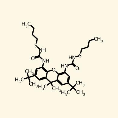 CCCCSNC(=O)Nc1cc(C(C)(C)C)cc2c1Oc1c(NC(=O)NSCCCC)cc(C(C)(C)C)cc1C2(C)C